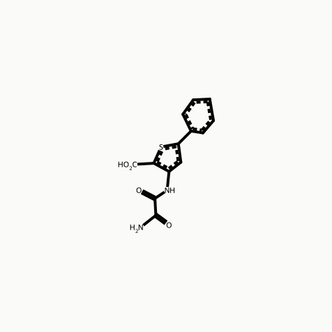 NC(=O)C(=O)Nc1cc(-c2ccccc2)sc1C(=O)O